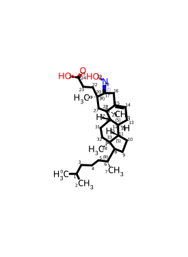 CC(C)CCC[C@@H](C)C1CC[C@H]2[C@@H]3CC=C4C/C(=N/O)[C@](C)(CCC(=O)O)C[C@]4(C)[C@H]3CC[C@]12C